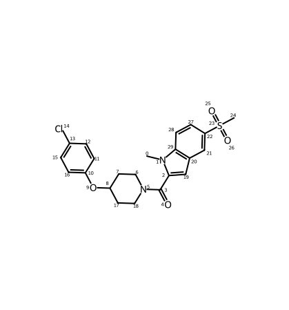 Cn1c(C(=O)N2CCC(Oc3ccc(Cl)cc3)CC2)cc2cc(S(C)(=O)=O)ccc21